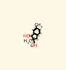 Cc1ccc2c(c1)[C@@H](O)[C@](C)(CO)C2